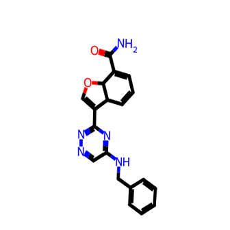 NC(=O)C1=CC=CC2C(c3nncc(NCc4ccccc4)n3)=COC12